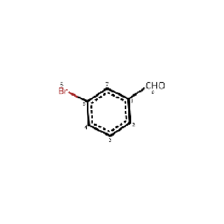 O=Cc1cc[c]c(Br)c1